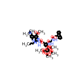 CCCCc1nc2c(NC(=O)OCc3ccc(O[C@@H]4O[C@H](C(=O)OC)[C@@H](OC(C)=O)[C@H](OC(C)=O)[C@H]4OC(C)=O)c(NC(=O)CCNC(=O)OCC4c5ccccc5-c5ccccc54)c3)nc3cc(C(=O)OC)ccc3c2n1Cc1ccc(CN(C)C)cc1